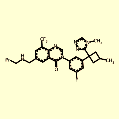 CC(C)CNCc1cc(C(F)(F)F)c2ncn(-c3cc(F)cc(C4(c5nncn5C)CC(C)C4)c3)c(=O)c2c1